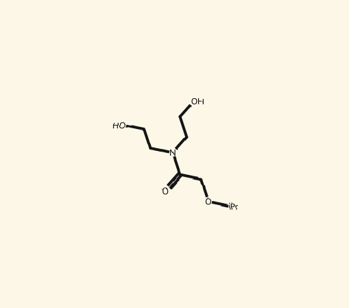 CC(C)OCC(=O)N(CCO)CCO